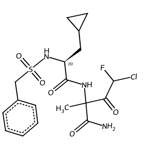 CC(NC(=O)[C@H](CC1CC1)NS(=O)(=O)Cc1ccccc1)(C(N)=O)C(=O)C(F)Cl